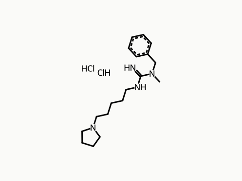 CN(Cc1ccccc1)C(=N)NCCCCCN1CCCC1.Cl.Cl